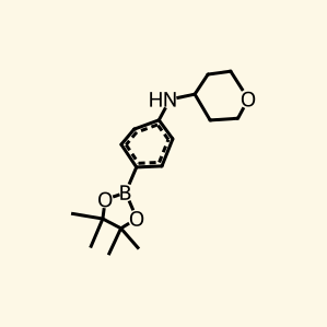 CC1(C)OB(c2ccc(NC3CCOCC3)cc2)OC1(C)C